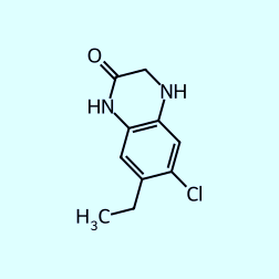 CCc1cc2c(cc1Cl)NCC(=O)N2